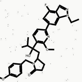 CCn1ncc2c(F)cc(-c3ccc(C(O)(CC4CCC(=O)N4Cc4ccc(OC)cc4)C(C)C)c(OC)n3)cc21